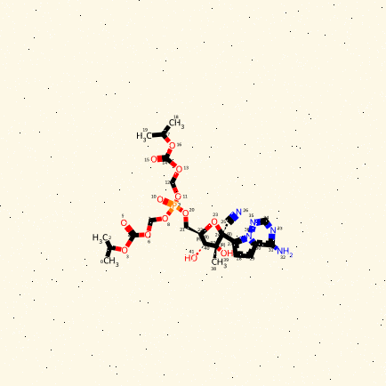 CC(C)OC(=O)OCOP(=O)(OCOC(=O)OC(C)C)OC[C@H]1O[C@@](C#N)(c2ccc3c(N)ncnn23)[C@](C)(O)[C@@H]1O